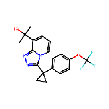 CC(C)(O)c1cccn2c(C3(c4ccc(OC(F)(F)F)cc4)CC3)nnc12